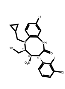 O=C1Nc2cc(Cl)ccc2N(CC2CC2)[C@H](CO)[C@H]([N+](=O)[O-])[C@H]1c1cccc(Cl)c1F